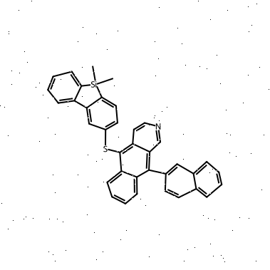 C[Si]1(C)c2ccccc2-c2cc(Sc3c4ccccc4c(-c4ccc5ccccc5c4)c4cnccc34)ccc21